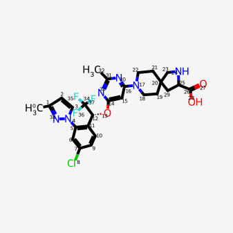 Cc1ccn(-c2cc(Cl)ccc2[C@@H](Oc2cc(N3CCC4(CC3)CNC(C(=O)O)C4)nc(C)n2)C(F)(F)F)n1